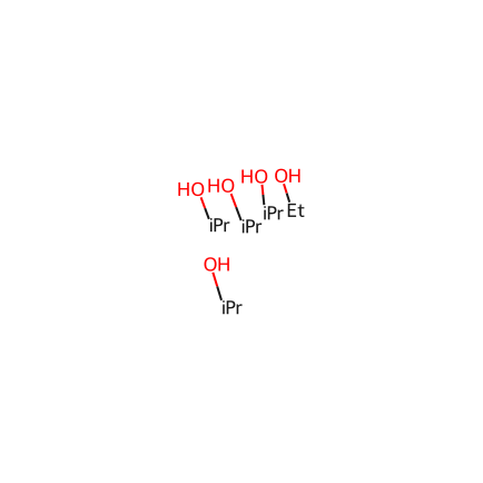 CC(C)O.CC(C)O.CC(C)O.CC(C)O.CCO